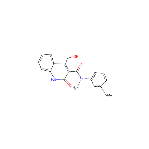 CSc1cccc(N(C)C(=O)c2c(CO)c3ccccc3[nH]c2=O)c1